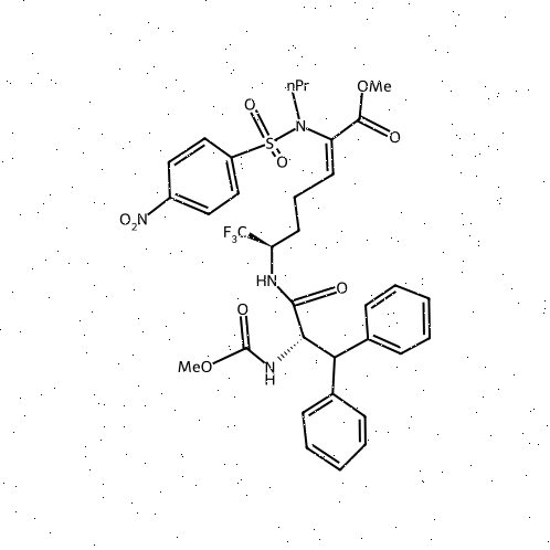 CCCN(C(=CCC[C@@H](NC(=O)[C@@H](NC(=O)OC)C(c1ccccc1)c1ccccc1)C(F)(F)F)C(=O)OC)S(=O)(=O)c1ccc([N+](=O)[O-])cc1